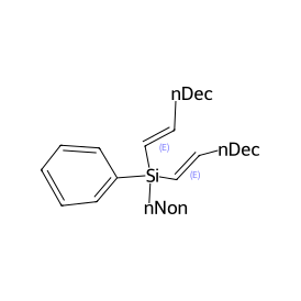 CCCCCCCCCC/C=C/[Si](/C=C/CCCCCCCCCC)(CCCCCCCCC)c1ccccc1